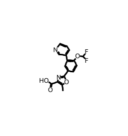 Cc1oc(-c2ccc(OC(F)F)c(-c3cccnc3)c2)nc1C(=O)O